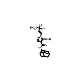 CCC(/C=C/n1ncc(C(=O)NC2C3CC4CC(C3)CC2C4)c1OCC(C)C)(CC)C(=O)O